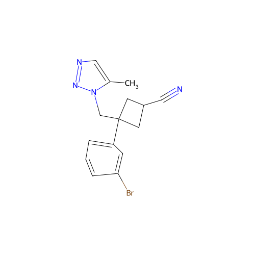 Cc1cnnn1CC1(c2cccc(Br)c2)CC(C#N)C1